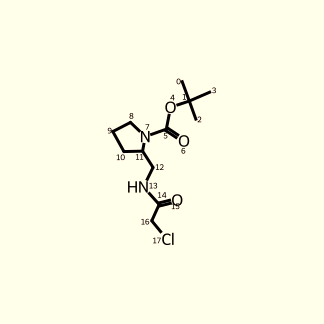 CC(C)(C)OC(=O)N1CCCC1CNC(=O)CCl